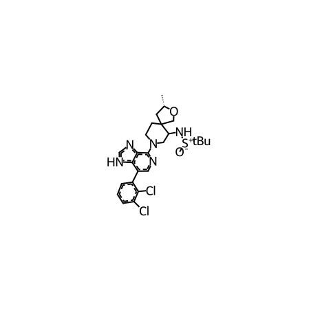 C[C@H]1CC2(CCN(c3ncc(-c4cccc(Cl)c4Cl)c4[nH]cnc34)CC2N[S+]([O-])C(C)(C)C)CO1